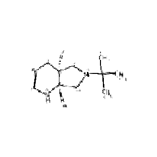 CC(C)(C)N1C[C@@H]2CCCN[C@H]2C1